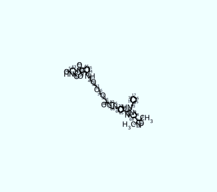 Cc1noc(C)c1-c1ccn2c(NCc3ccccc3)c(-c3ccc(N4CCN(C(=O)CCOCCOCCOCCNc5cccc6c5C(=O)N(C5CCC(=O)NC5=O)C6=O)CC4)cc3)nc2c1